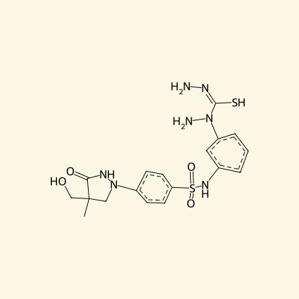 CC1(CO)CN(c2ccc(S(=O)(=O)Nc3cccc(N(N)/C(S)=N\N)c3)cc2)NC1=O